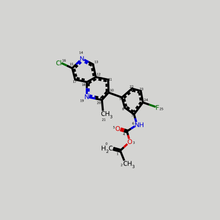 C=C(C)OC(=O)Nc1cc(-c2cc3cnc(Cl)cc3nc2C)ccc1F